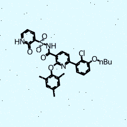 CCCCOc1cccc(-c2ccc(C(=O)NS(=O)(=O)c3ccc[nH]c3=O)c(Oc3c(C)cc(C)cc3C)n2)c1Cl